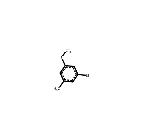 CCc1cc(C)cc(SC(F)(F)F)c1